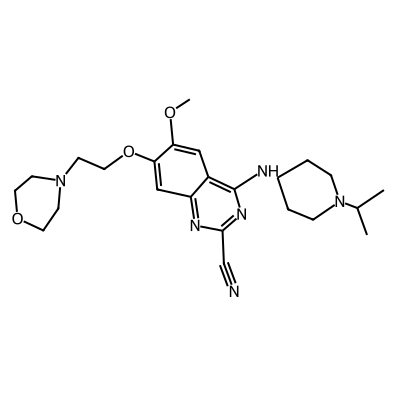 COc1cc2c(NC3CCN(C(C)C)CC3)nc(C#N)nc2cc1OCCN1CCOCC1